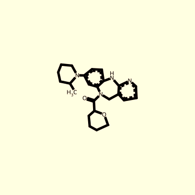 CC1CCCCN1c1ccc2c(c1)N(C(=O)C1CCCCO1)Cc1cccnc1N2